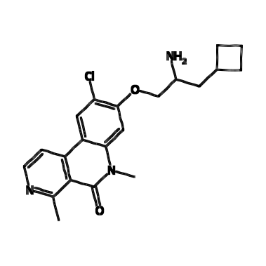 Cc1nccc2c1c(=O)n(C)c1cc(OCC(N)CC3CCC3)c(Cl)cc21